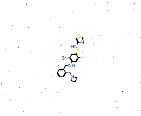 Fc1cc(NCc2ccccc2CN2CCC2)c(Br)cc1SNc1cscn1